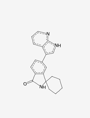 O=C1NC2(CCCCC2)c2cc(-c3c[nH]c4ncccc34)ccc21